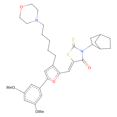 COc1cc(OC)cc(-c2cc(CCCCCN3CCOCC3)c(/C=C3\SC(=S)N(C4CC5CCC4C5)C3=O)o2)c1